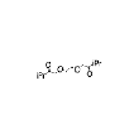 CC(C)C(=O)COCCOCC(=O)C(C)C